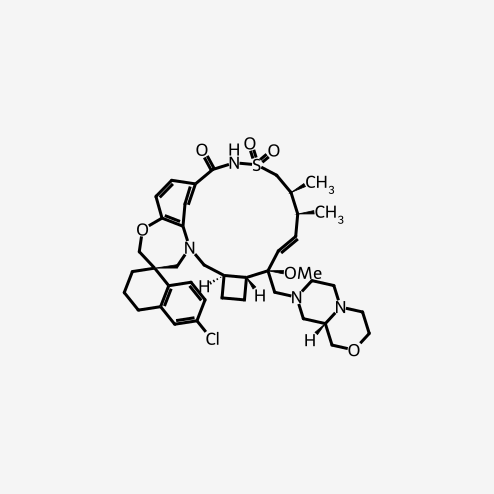 CO[C@]1(CN2CCN3CCOC[C@@H]3C2)/C=C/[C@H](C)[C@H](C)CS(=O)(=O)NC(=O)c2ccc3c(c2)N(C[C@@H]2CC[C@H]21)C[C@@]1(CCCc2cc(Cl)ccc21)CO3